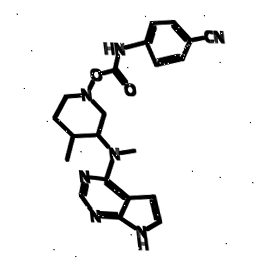 CC1CCN(OC(=O)Nc2ccc(C#N)cc2)CC1N(C)c1ncnc2[nH]ccc12